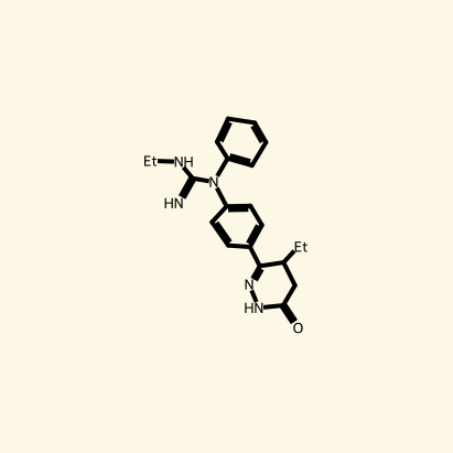 CCNC(=N)N(c1ccccc1)c1ccc(C2=NNC(=O)CC2CC)cc1